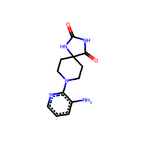 Nc1cccnc1N1CCC2(CC1)NC(=O)NC2=O